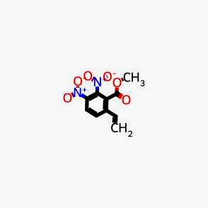 C=Cc1ccc([N+](=O)[O-])c([N+](=O)[O-])c1C(=O)OC